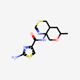 CC1CC2CSC=NC2(NC(=O)c2csc(N)n2)CO1